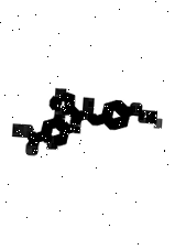 COc1ccc(CNc2nc3cnc(C(=O)O)cc3n3cncc23)cc1